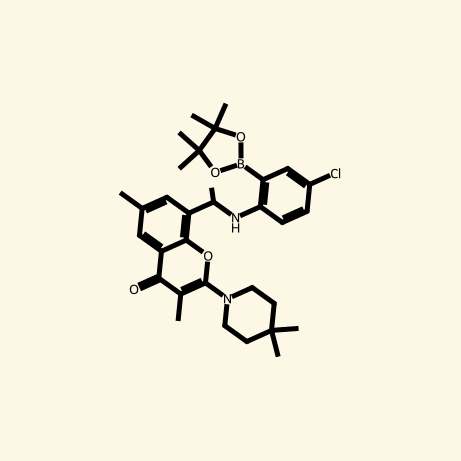 Cc1cc(C(C)Nc2ccc(Cl)cc2B2OC(C)(C)C(C)(C)O2)c2oc(N3CCC(C)(C)CC3)c(C)c(=O)c2c1